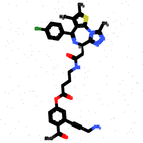 COC(=O)c1ccc(OC(=O)CCCNC(=O)C[C@@H]2N=C(c3ccc(Cl)cc3)c3c(sc(C)c3C)-n3c(C)nnc32)cc1C#CCN